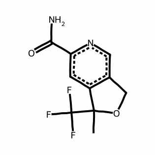 CC1(C(F)(F)F)OCc2cnc(C(N)=O)cc21